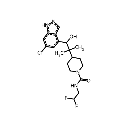 CC(C)(C1CCN(C(=O)NCC(F)F)CC1)C(O)c1cc(Cl)cc2[nH]ncc12